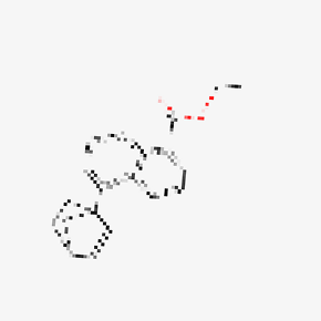 CCOC(=O)c1cccc2c(C34C=CC(CC3)C4)cccc12